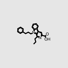 CCCc1nc(C(=O)O)cc2c3ccccc3n(CCCc3ccccc3)c12